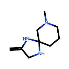 C=C1CNC2(CCCN(C)C2)N1